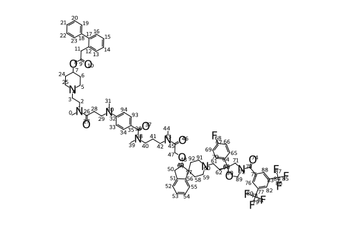 CN(CCN1CCC(OC(=O)Cc2ccccc2-c2ccccc2)CC1)C(=O)CCN(C)c1ccc(C(=O)N(C)CCCN(C)C(=O)CO[C@H]2Cc3ccccc3C23CCN(CC[C@@]2(c4ccc(F)cc4)CN(C(=O)c4cc(C(F)(F)F)cc(C(F)(F)F)c4)CO2)CC3)cc1